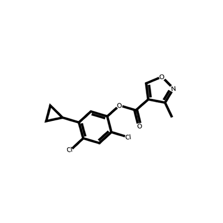 Cc1nocc1C(=O)Oc1cc(C2CC2)c(Cl)cc1Cl